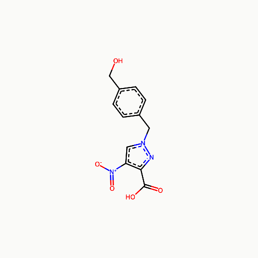 O=C(O)c1nn(Cc2ccc(CO)cc2)cc1[N+](=O)[O-]